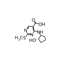 CSc1ncc(C(=O)O)c(N[C@H]2CCC[C@@H]2O)n1